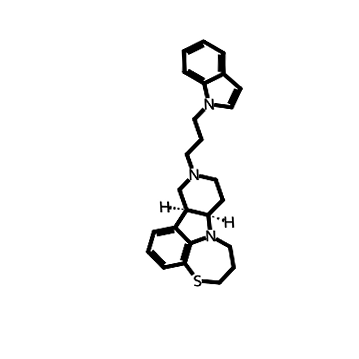 c1cc2c3c(c1)[C@H]1CN(CCCn4ccc5ccccc54)CC[C@H]1N3CCCS2